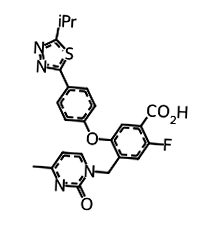 Cc1ccn(Cc2cc(F)c(C(=O)O)cc2Oc2ccc(-c3nnc(C(C)C)s3)cc2)c(=O)n1